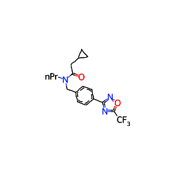 CCCN(Cc1ccc(-c2noc(C(F)(F)F)n2)cc1)C(=O)CC1CC1